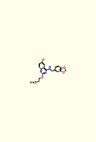 COCCOc1nc(NCc2ccc3c(c2)OCO3)c2cc(Cl)ccc2n1